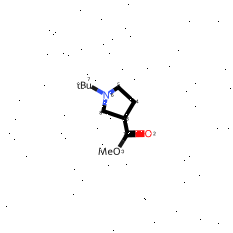 COC(=O)C1CCN(C(C)(C)C)C1